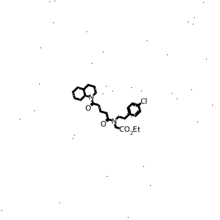 CCOC(=O)CN(CCc1ccc(Cl)cc1)C(=O)CCCC(=O)N1CCCC2CCCCC21